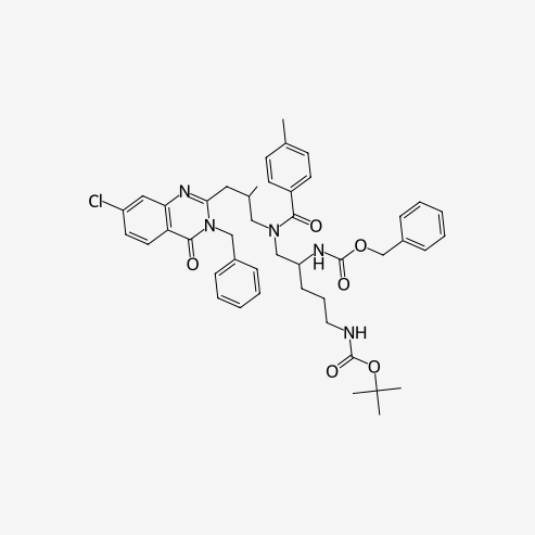 Cc1ccc(C(=O)N(CC(C)Cc2nc3cc(Cl)ccc3c(=O)n2Cc2ccccc2)CC(CCCNC(=O)OC(C)(C)C)NC(=O)OCc2ccccc2)cc1